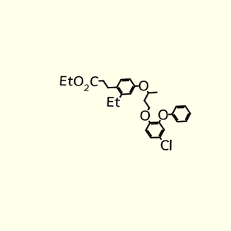 CCOC(=O)CCc1ccc(OC(C)CCOc2ccc(Cl)cc2Oc2ccccc2)cc1CC